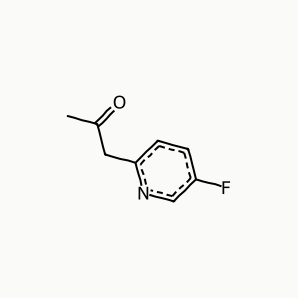 CC(=O)Cc1ccc(F)cn1